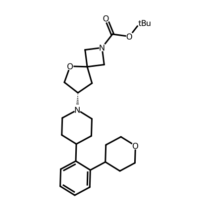 CC(C)(C)OC(=O)N1CC2(C[C@H](N3CCC(c4ccccc4C4CCOCC4)CC3)CO2)C1